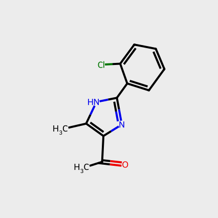 CC(=O)c1nc(-c2ccccc2Cl)[nH]c1C